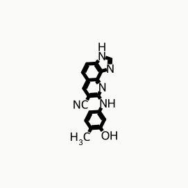 Cc1ccc(Nc2nc3c(ccc4[nH]cnc43)cc2C#N)cc1O